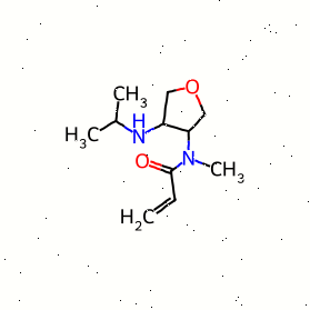 C=CC(=O)N(C)C1COCC1NC(C)C